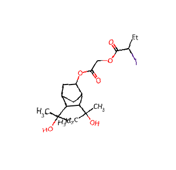 CCC(I)C(=O)OCC(=O)OC1CC2CC1C(C(C)(C)O)C2C(C)(C)O